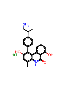 Cc1cc(O)c(-c2ccc(C(C)CN)cc2)c2c1[nH]c(=O)c1c(O)cccc12.Cl